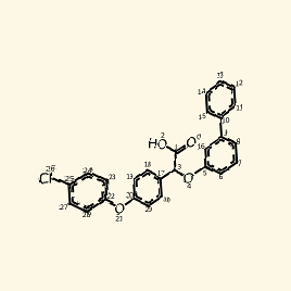 O=C(O)C(Oc1cccc(-c2ccccc2)c1)c1ccc(Oc2ccc(Cl)cc2)cc1